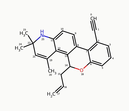 C#Cc1cccc2c1-c1ccc3c(c1C(CC=C)O2)C(C)=CC(C)(C)N3